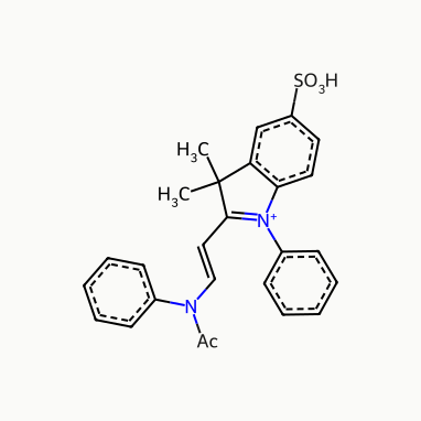 CC(=O)N(/C=C/C1=[N+](c2ccccc2)c2ccc(S(=O)(=O)O)cc2C1(C)C)c1ccccc1